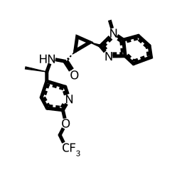 C[C@@H](NC(=O)[C@@H]1C[C@H]1c1nc2ccccc2n1C)c1ccc(OCC(F)(F)F)nc1